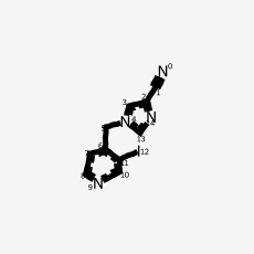 N#Cc1cn(Cc2ccncc2I)cn1